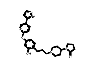 O=C1CCCN1C1CCN(CCCc2ccc(Oc3ccc(-c4ccn[nH]4)cn3)cc2O)CC1